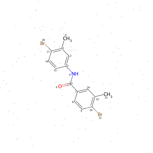 Cc1cc(NC(=O)c2ccc(Br)c(C)c2)ccc1Br